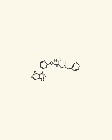 O[C@H](CNCc1ccncc1)COc1cccc(-c2noc3ccsc23)c1